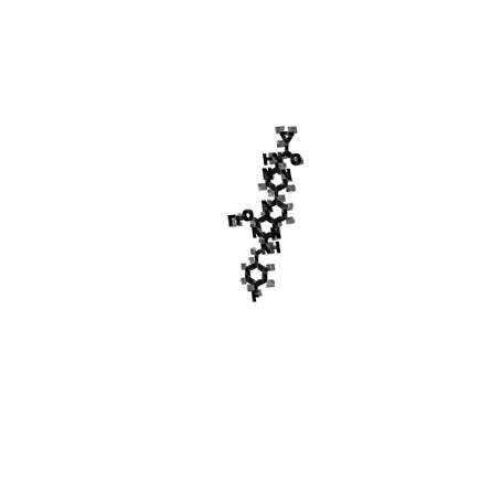 CCOc1nc(NCc2ccc(F)cc2)nc2ccc(-c3cnc(NC(=O)C4CC4)nc3)nc12